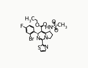 CCOC(=O)C1=C2[C@H](NS(C)(=O)=O)CCN2C(c2nccs2)=N[C@H]1c1ccc(F)cc1Br